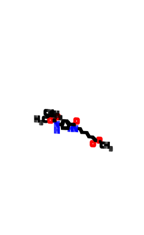 COC(=O)CCCCCNC(=O)c1ccc(NC(=O)OC(C)(C)C)cc1